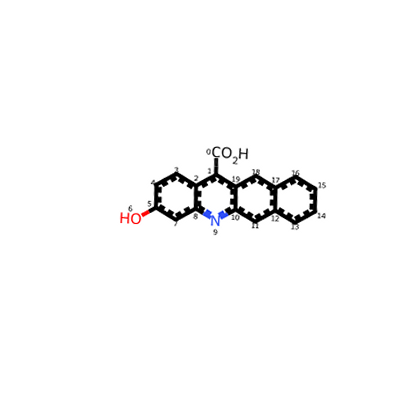 O=C(O)c1c2ccc(O)cc2nc2cc3ccccc3cc12